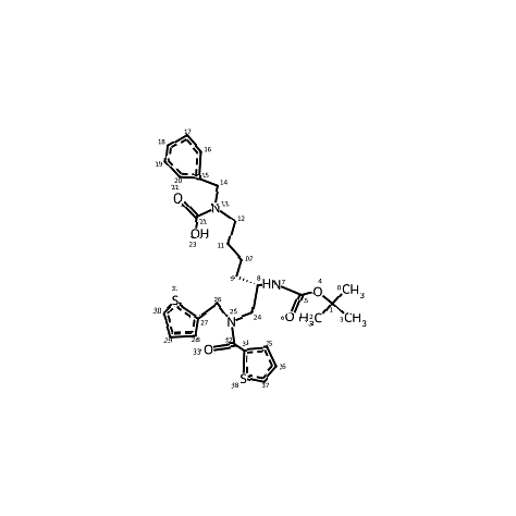 CC(C)(C)OC(=O)N[C@@H](CCCCN(Cc1ccccc1)C(=O)O)CN(Cc1cccs1)C(=O)c1cccs1